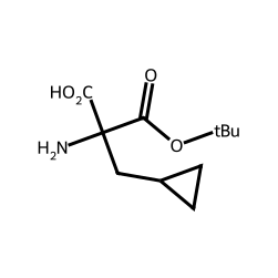 CC(C)(C)OC(=O)C(N)(CC1CC1)C(=O)O